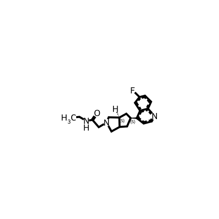 CCNC(=O)CN1CC2C[C@H](c3ccnc4ccc(F)cc34)C[C@@H]2C1